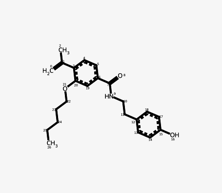 C=C(C)c1ccc(C(=O)NCCc2ccc(O)cc2)cc1OCCCCC